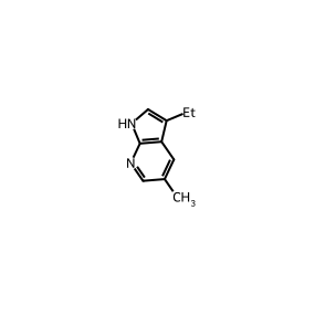 CCc1c[nH]c2ncc(C)cc12